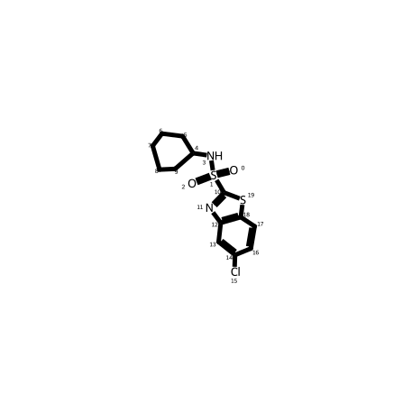 O=S(=O)(NC1CCCCC1)c1nc2cc(Cl)ccc2s1